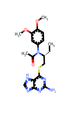 CC[C@H](CSc1nc(N)nc2nc[nH]c12)N(C(C)=O)c1ccc(OC)c(OC)c1